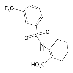 O=C(O)C1=C(NS(=O)(=O)c2cccc(C(F)(F)F)c2)CCCC1